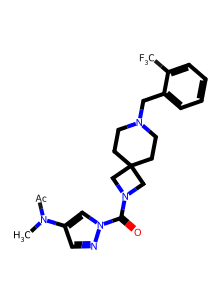 CC(=O)N(C)c1cnn(C(=O)N2CC3(CCN(Cc4ccccc4C(F)(F)F)CC3)C2)c1